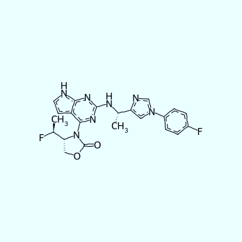 C[C@H](Nc1nc(N2C(=O)OC[C@@H]2[C@H](C)F)c2cc[nH]c2n1)c1cn(-c2ccc(F)cc2)cn1